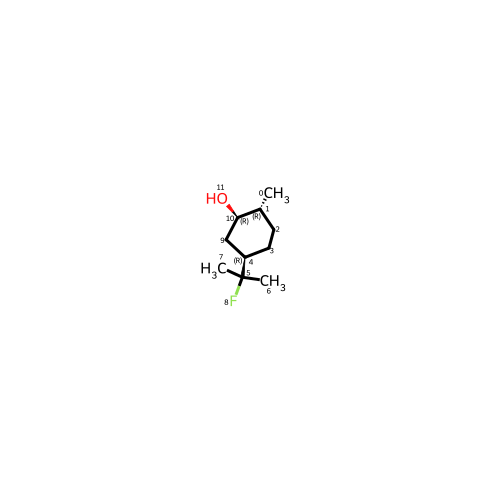 C[C@@H]1CC[C@@H](C(C)(C)F)C[C@H]1O